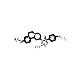 COc1ccc(S(=O)(=O)N(C)C2CCN3CCc4cc(OC)ccc4C3C2)cc1.Cl